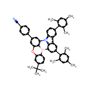 Cc1cc(C)c(-c2ccc3c(c2)c2cc(-c4c(C)cc(C)cc4C)cc4c2n3-c2cc(-c3ccc(C#N)cc3)cc3c2B4c2ccc(C(C)(C)C)cc2O3)c(C)c1